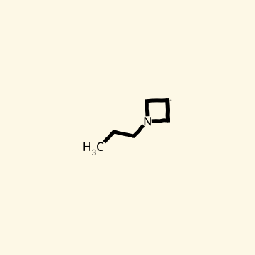 CCCN1C[CH]C1